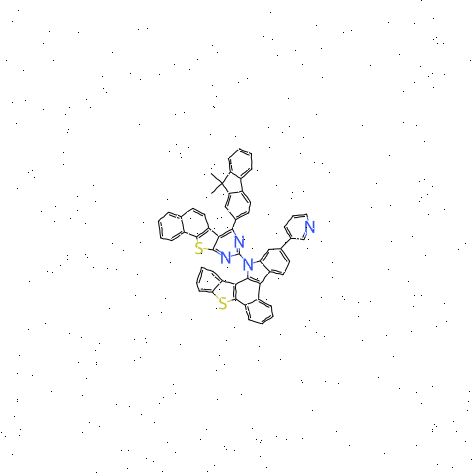 CC1(C)c2ccccc2-c2ccc(-c3nc(-n4c5cc(-c6cccnc6)ccc5c5c6ccccc6c6sc7ccccc7c6c54)nc4sc5c6ccccc6ccc5c34)cc21